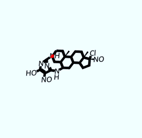 C[C@]12CC3CCC1C(CC1C2CC[C@@]2(C)C1CC[C@]2(Cl)N=O)Nc1nc(nc(O)c1N=O)N3